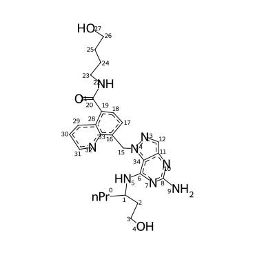 CCCC(CCO)Nc1nc(N)nc2cnn(Cc3ccc(C(=O)NCCCCO)c4cccnc34)c12